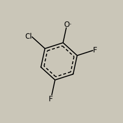 [O]c1c(F)cc(F)cc1Cl